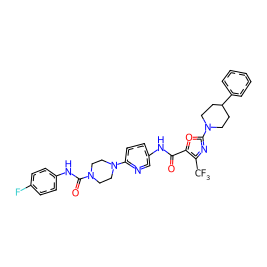 O=C(Nc1ccc(N2CCN(C(=O)Nc3ccc(F)cc3)CC2)nc1)c1oc(N2CCC(c3ccccc3)CC2)nc1C(F)(F)F